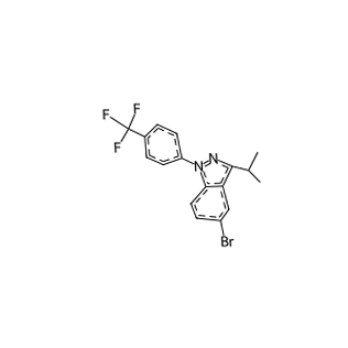 CC(C)c1nn(-c2ccc(C(F)(F)F)cc2)c2ccc(Br)cc12